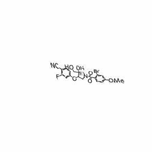 COc1ccc(S(=O)(=O)N2CC(Oc3ccc(C#N)c(F)c3)[C@](O)(CO)C2)c(Br)c1